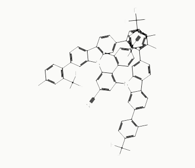 Cc1ccc(-c2ccc3c4ccc(-c5ccc(C)cc5C(F)(F)F)cc4n(-c4cc(C#N)cc(-n5c6cc(-c7ccc(C(F)(F)F)cc7C)ccc6c6ccc(-c7ccc(C(F)(F)F)cc7C)cc65)c4-c4ccc(C#N)cc4C)c3c2)c(C)c1